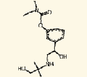 CN(C)C(=O)Oc1cccc(C(O)CNC(C)(C)CO)c1